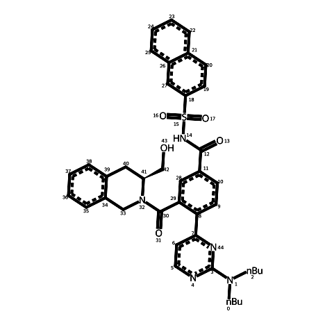 CCCCN(CCCC)c1nccc(-c2ccc(C(=O)NS(=O)(=O)c3ccc4ccccc4c3)cc2C(=O)N2Cc3ccccc3C[C@H]2CO)n1